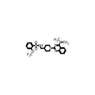 CN(C)c1nc(N2CCC(CNS(=O)(=O)c3ccccc3OC(F)(F)F)CC2)nc2ccccc12